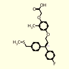 CSCc1ccc(/C(=C\COc2ccc(OCC(=O)O)c(C)c2)c2ccc(F)cc2)cc1